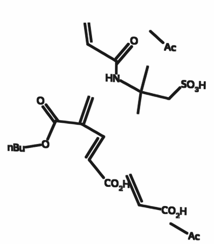 C=C(C=CC(=O)O)C(=O)OCCCC.C=CC(=O)NC(C)(C)CS(=O)(=O)O.C=CC(=O)O.CC(C)=O.CC(C)=O